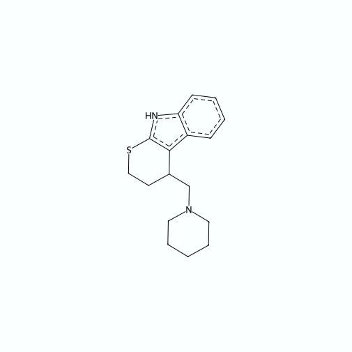 c1ccc2c3c([nH]c2c1)SCCC3CN1CCCCC1